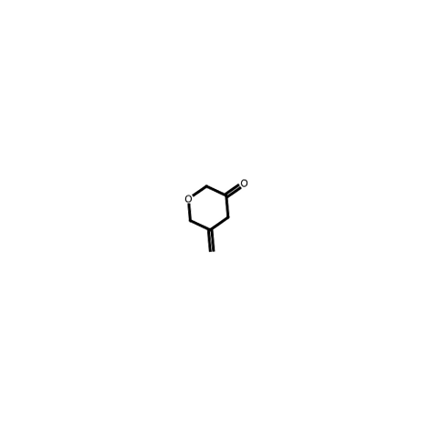 C=C1COCC(=O)C1